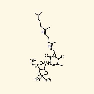 CCCC1(CCC)OC2C(O1)[C@@H](CO)O[C@H]2n1cc(F)c(=O)n(C/C=C(\C)CC/C=C(\C)CCC=C(C)C)c1=O